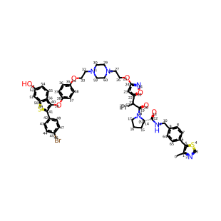 Cc1ncsc1-c1ccc(CNC(=O)[C@@H]2CCCN2C(=O)C(c2cc(OCCN3CCN(CCOc4ccc(Oc5c(-c6ccc(Br)cc6)sc6cc(O)ccc56)cc4)CC3)no2)C(C)C)cc1